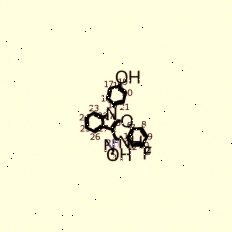 N/C(=N\O)c1c(Oc2ccc(F)cc2)n(-c2ccc(O)cc2)c2ccccc12